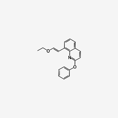 CCOC=Cc1cccc2ccc(Oc3ccccc3)nc12